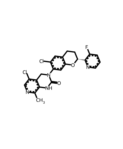 Cc1ncc(Cl)c2c1NC(=O)N(c1cc3c(cc1Cl)CC[C@H](c1ncccc1F)O3)C2